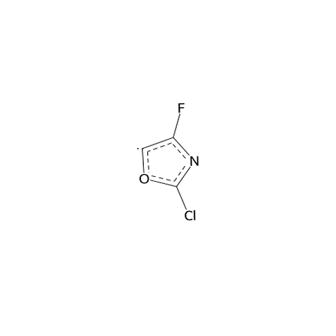 Fc1[c]oc(Cl)n1